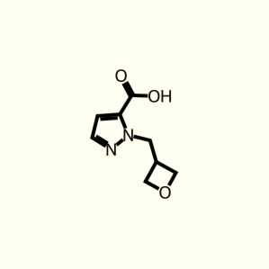 O=C(O)c1ccnn1CC1COC1